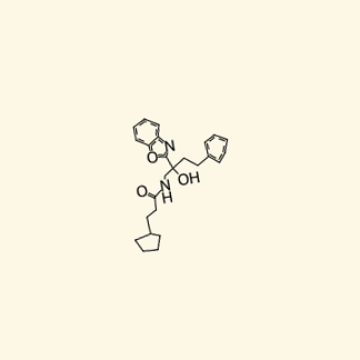 O=C(CCC1CCCC1)NCC(O)(CCc1ccccc1)c1nc2ccccc2o1